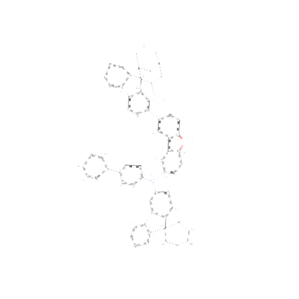 CCC1CC2CCCC(C2)C12c1ccccc1-c1ccc(-c3ccc4oc5ccc(N(c6ccc(-c7ccccc7)cc6)c6ccc7c(c6)-c6ccccc6C76CCCCC6)cc5c4c3)cc12